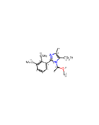 CCOC(=O)c1c(C)nc(-c2cccc(OC)c2OC)n1C(C)OCC